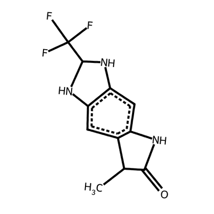 CC1C(=O)Nc2cc3c(cc21)NC(C(F)(F)F)N3